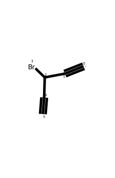 [C]#CC(Br)C#C